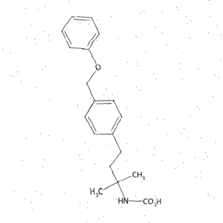 CC(C)(CCc1ccc(COc2ccccc2)cc1)NC(=O)O